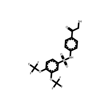 O=C(CS)c1ccc(NS(=O)(=O)c2ccc(OC(F)(F)F)c(OC(F)(F)F)c2)cc1